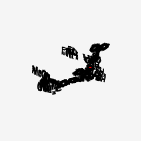 CCNCC.COc1ccc(C#CCNC2(C)CCN(C3CCN(c4nc(C(COCNC(=O)CNC(=O)OCC5c6ccccc6-c6ccccc65)(OC5CC5)c5ccccc5)c5cc(-c6cn(C)c(=O)c7[nH]ccc67)ccc5n4)CC3)CC2)cc1N1CCC(=O)NC1=O